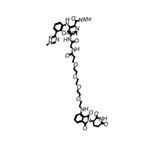 CNC(=O)c1nnc(NC(=O)CNC(=O)CCOCCOCCOCCOCCNc2cccc3c2C(=O)N(C2CCC(=O)NC2=O)C3=O)cc1Nc1cccc(-c2ncn(C)n2)c1OC